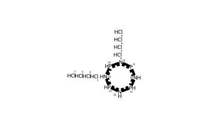 Cl.Cl.Cl.Cl.Cl.Cl.Cl.Cl.n1p[nH][pH][nH][pH][nH][pH]1